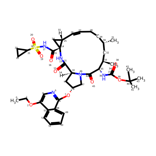 CCOc1cnc(O[C@@H]2C[C@H]3C(=O)N[C@]4(C(=O)NS(=O)(=O)C5CC5)C[C@@H]4/C=C\CC[C@H](C)C[C@@H](C)[C@H](NC(=O)OC(C)(C)C)C(=O)N3C2)c2ccccc12